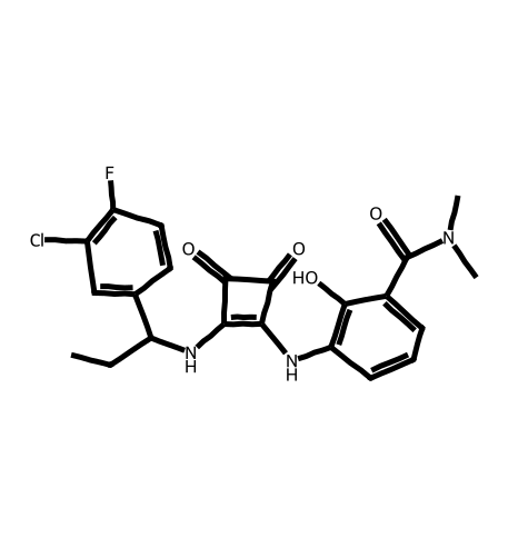 CCC(Nc1c(Nc2cccc(C(=O)N(C)C)c2O)c(=O)c1=O)c1ccc(F)c(Cl)c1